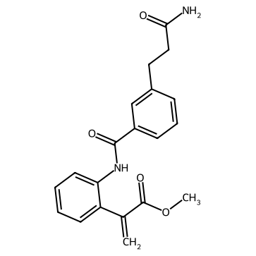 C=C(C(=O)OC)c1ccccc1NC(=O)c1cccc(CCC(N)=O)c1